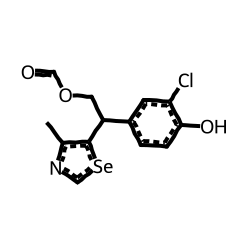 Cc1nc[se]c1C(COC=O)c1ccc(O)c(Cl)c1